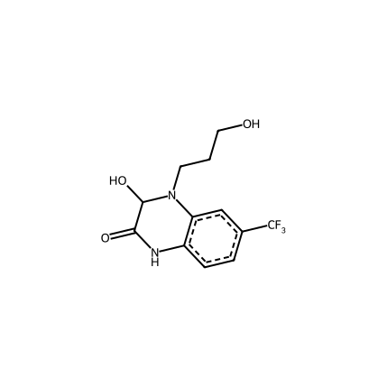 O=C1Nc2ccc(C(F)(F)F)cc2N(CCCO)C1O